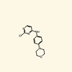 Clc1nccc(Nc2ccc(N3CCOCC3)cc2)n1